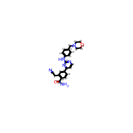 N#CCc1cc(-c2ccnc(Nc3ccc(CN4CCOCC4)cc3)n2)ccc1C(N)=O